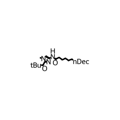 CCCCCCCCCCCCCCCC(=O)Nc1cn(C)c(C(=O)C(C)(C)C)n1